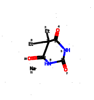 CCC1(CC)C(=O)NC(=O)NC1=O.[Na]